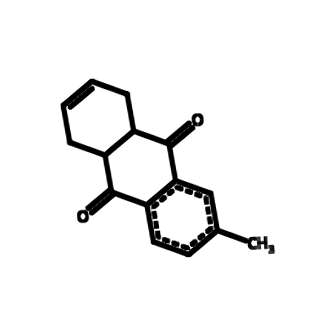 Cc1ccc2c(c1)C(=O)C1CC=CCC1C2=O